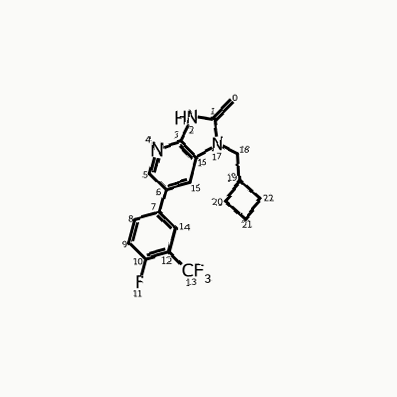 C=C1Nc2ncc(-c3ccc(F)c(C(F)(F)F)c3)cc2N1CC1CCC1